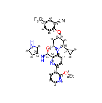 CCOc1ncccc1-c1ccc(N2CC[C@H](Oc3ccc(C(F)(F)F)cc3C#N)C[C@H]2C2CC2)c(C(=O)N[C@@H]2CCNC2)n1